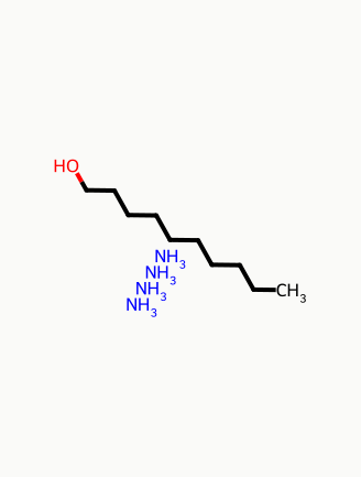 CCCCCCCCCCO.N.N.N.N